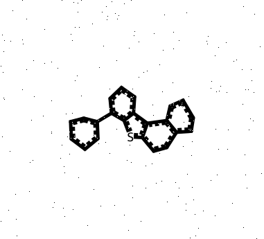 c1ccc(-c2cccc3c2sc2ccc4ccccc4c23)cc1